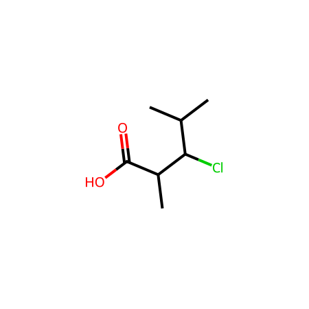 CC(C)C(Cl)C(C)C(=O)O